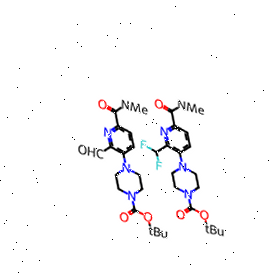 CNC(=O)c1ccc(N2CCN(C(=O)OC(C)(C)C)CC2)c(C(F)F)n1.CNC(=O)c1ccc(N2CCN(C(=O)OC(C)(C)C)CC2)c(C=O)n1